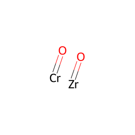 [O]=[Cr].[O]=[Zr]